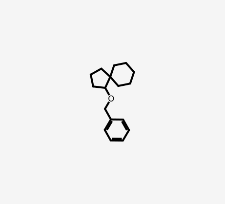 c1ccc(COC2CCCC23CCCCC3)cc1